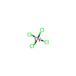 [Cl][Dy]([Cl])([Cl])[Cl]